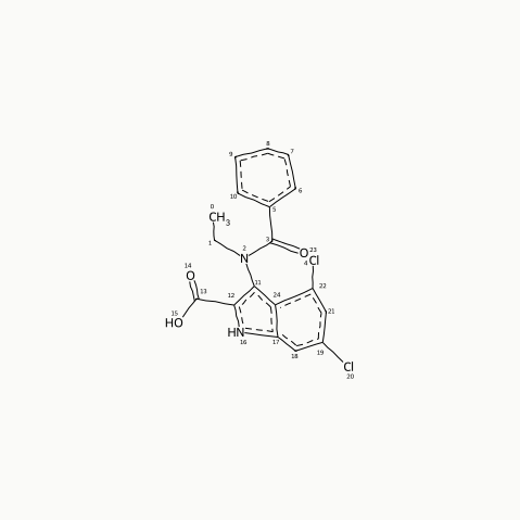 CCN(C(=O)c1ccccc1)c1c(C(=O)O)[nH]c2cc(Cl)cc(Cl)c12